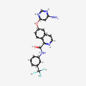 Nc1cc(Oc2ccc3c(C(=O)Nc4cccc(C(F)(F)F)c4)nccc3c2)ncn1